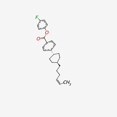 C/C=C\CCC[C@H]1CC[C@H](c2ccc(C(=O)Oc3ccc(F)cc3)cc2)CC1